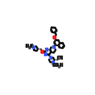 CN1CC[C@@H](COc2nc3c(c(N4CCN(C(=O)O)[C@@H](CC#N)C4)n2)CCN(c2cc(OCc4ccccc4)cc4ccccc24)C3)C1